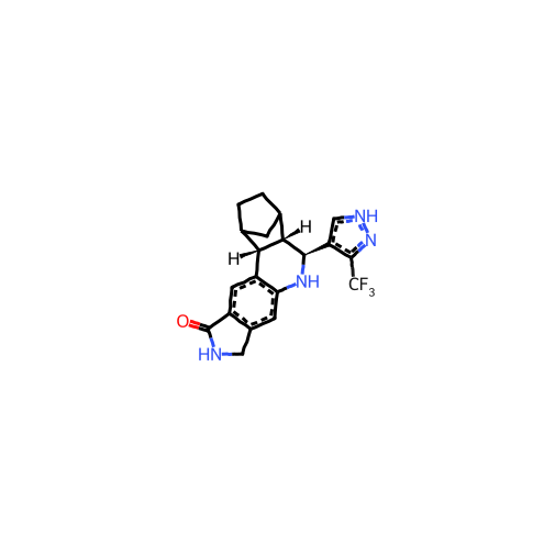 O=C1NCc2cc3c(cc21)[C@@H]1C2CCC(C2)[C@@H]1[C@@H](c1c[nH]nc1C(F)(F)F)N3